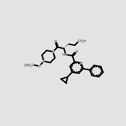 CCOC(=O)ON1CCN(C(=O)[C@H](CCC(=O)O)NC(=O)c2cc(C3CC3)cc(-c3ccccc3)n2)CC1